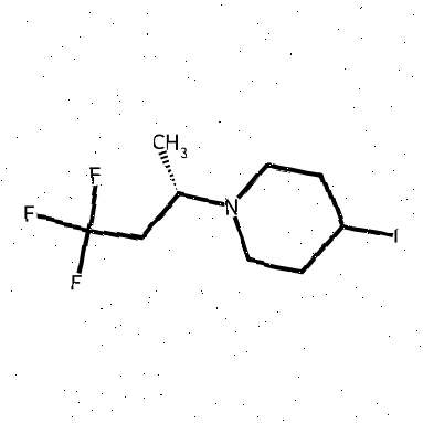 C[C@@H](CC(F)(F)F)N1CCC(I)CC1